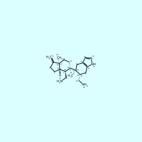 C=C1CC[C@H]2[C@H](CN)[C@@H]([C@@]3(C)Cc4cn[nH]c4C[C@@H]3CN)CC[C@]12C